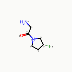 NCC(=O)N1CC[C@@H](F)C1